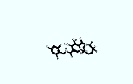 C[C@@H]1N2C[C@H](CCC1(F)F)N1C=C(C(=O)NCc3c(F)cc(F)cc3F)C(O)C(O)=C1C2=O